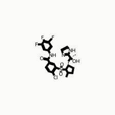 CC1CC[C@@H](C[C@](C)(O)c2ncc[nH]2)C1S(=O)(=O)c1cc(C(=O)Nc2cc(F)c(F)c(F)c2)ccc1Cl